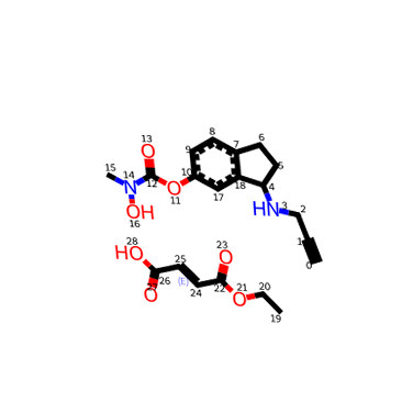 C#CCNC1CCc2ccc(OC(=O)N(C)O)cc21.CCOC(=O)/C=C/C(=O)O